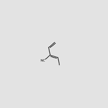 C=C/C(C#N)=C/C